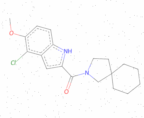 COc1ccc2[nH]c(C(=O)N3CCC4(CCCCC4)C3)cc2c1Cl